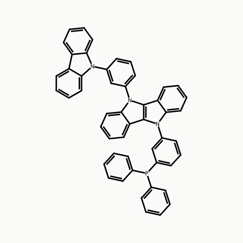 c1ccc(P(c2ccccc2)c2cccc(-n3c4ccccc4c4c3c3ccccc3n4-c3cccc(-n4c5ccccc5c5ccccc54)c3)c2)cc1